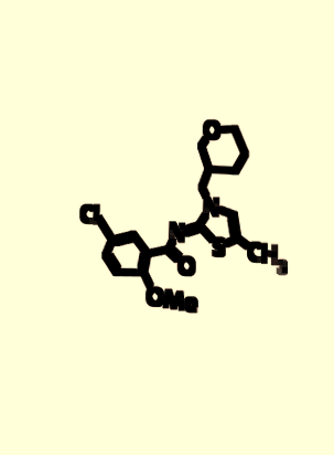 COc1ccc(Cl)cc1C(=O)/N=c1\sc(C)cn1CC1CCCOC1